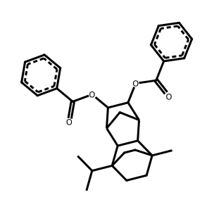 CC(C)C12CCC(C)(CC1)C1C3CC(C(OC(=O)c4ccccc4)C3OC(=O)c3ccccc3)C12